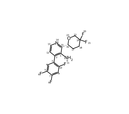 Nc1c(-c2cc(F)c(F)cc2F)ccnc1[C@H]1CCC(F)(F)CO1